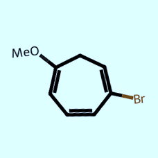 COC1=CC=CC(Br)=CC1